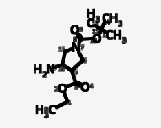 CCOC(=O)C1CN(C(=O)OC(C)(C)C)CC1N